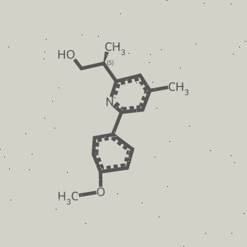 COc1ccc(-c2cc(C)cc([C@H](C)CO)n2)cc1